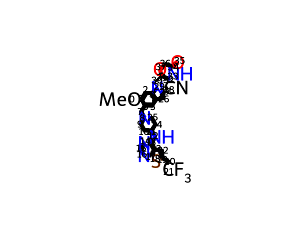 COc1cc2c(cc1CN1CCC(Nc3ncnc4sc(CC(F)(F)F)cc34)CC1)cc(C#N)n2C[C@@H]1CNC(=O)CO1